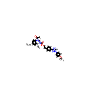 COc1ccc(N2C(=O)CS/C2=N\C(=O)OCCc2ccc(-c3ncn(-c4ccc(OC(F)(F)F)cc4)n3)cc2)c(C)c1